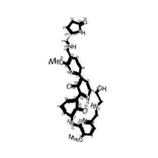 COc1ccc(CNCCO)nc1Nc1cccc(-c2nccc(-c3ccc(CNC[C@@H]4CCC(=O)N4)c(OC)n3)c2Cl)c1Cl